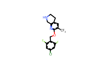 Fc1cc(Cl)cc(F)c1COc1nc2c(cc1C(F)(F)F)CCNC2